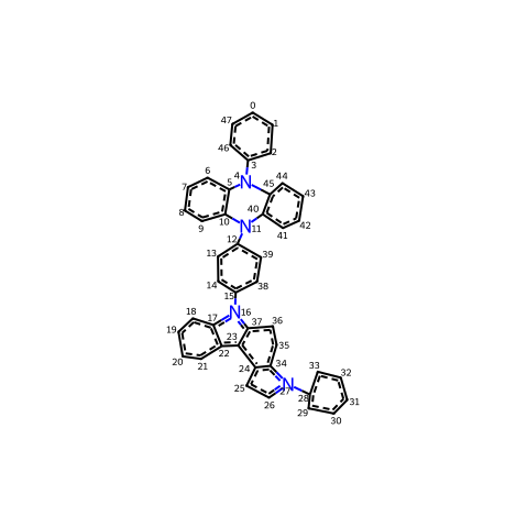 c1ccc(N2c3ccccc3N(c3ccc(-n4c5ccccc5c5c6ccn(-c7ccccc7)c6ccc54)cc3)c3ccccc32)cc1